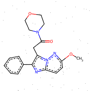 COc1ccc2nc(-c3ccccc3)c(CC(=O)N3CCOCC3)n2n1